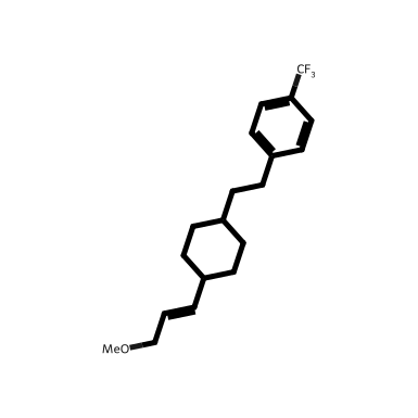 COC/C=C/C1CCC(CCc2ccc(C(F)(F)F)cc2)CC1